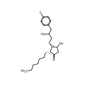 O=C(O)CCCCCC[C@H]1C(=O)CC(O)[C@@H]1SCC(O)Cc1ccc(F)cc1